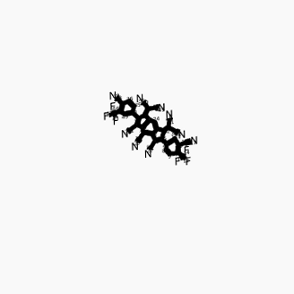 N#CC(C#N)=C1C(c2ccc(C(F)(F)F)c(C#N)c2)=C(C#N)c2c1cc1c(c2C#N)C(C#N)=C(c2ccc(C#N)c(C(F)(F)F)c2)C1=C(C#N)C#N